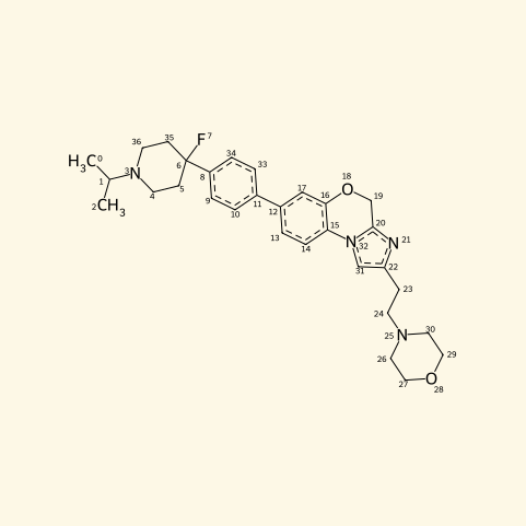 CC(C)N1CCC(F)(c2ccc(-c3ccc4c(c3)OCc3nc(CCN5CCOCC5)cn3-4)cc2)CC1